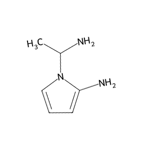 CC(N)n1cccc1N